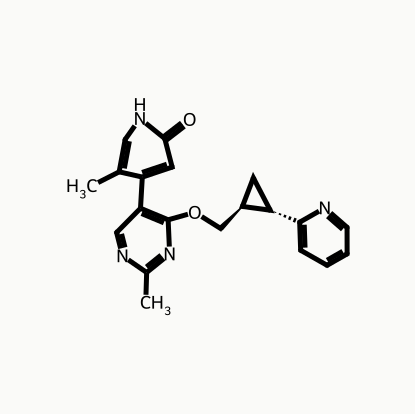 Cc1ncc(-c2cc(=O)[nH]cc2C)c(OC[C@H]2C[C@@H]2c2ccccn2)n1